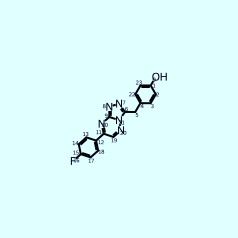 Oc1ccc(Cc2nnc3nc(-c4ccc(F)cc4)cnn23)cc1